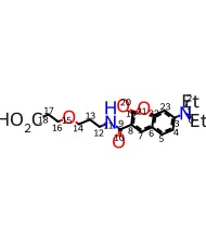 CCN(CC)c1ccc2cc(C(=O)NCCCOCCC(=O)O)c(=O)oc2c1